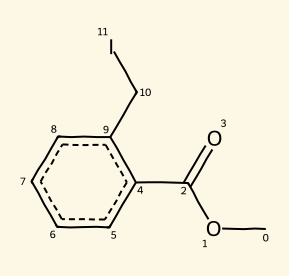 COC(=O)c1ccccc1CI